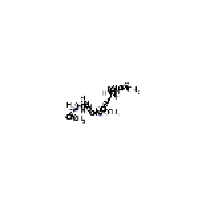 C=CC(=O)N1CCC(Nc2ncnc3[nH]c(C#CCOc4ccc(/C=C\C(=O)N5CCC(Nc6ncnc7[nH]c(C(C)/C=C/COc8ccccc8OC)nc67)C5)c(OC)c4)nc23)C1